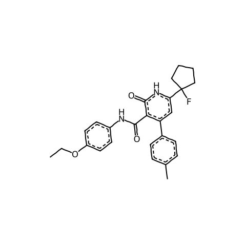 CCOc1ccc(NC(=O)c2c(-c3ccc(C)cc3)cc(C3(F)CCCC3)[nH]c2=O)cc1